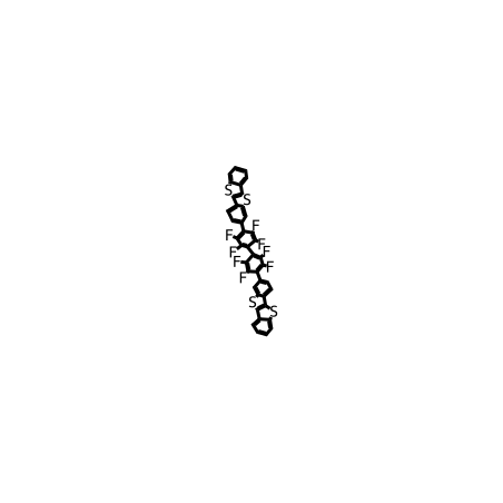 Fc1c(F)c(-c2c(F)c(F)c(-c3ccc4c(c3)sc3c5ccccc5sc43)c(F)c2F)c(F)c(F)c1-c1ccc2c(c1)sc1c3ccccc3sc21